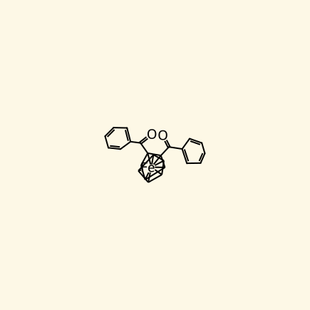 O=C(c1ccccc1)[C]12[CH]3[CH]4[CH]5[C]1(C(=O)c1ccccc1)[Fe]43521678[CH]2[CH]1[CH]6[CH]7[CH]28